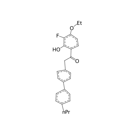 CCCc1ccc(-c2ccc(CC(=O)c3ccc(OCC)c(F)c3O)cc2)cc1